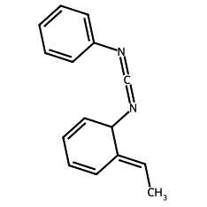 CC=C1C=CC=CC1N=C=Nc1ccccc1